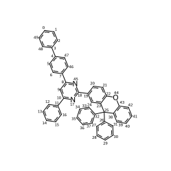 c1ccc(-c2ccc(-c3cc(-c4ccccc4)nc(-c4ccc5c(c4)C(c4ccccc4)(c4ccccc4)c4ccccc4O5)n3)cc2)cc1